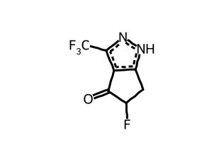 O=C1c2c(C(F)(F)F)n[nH]c2CC1F